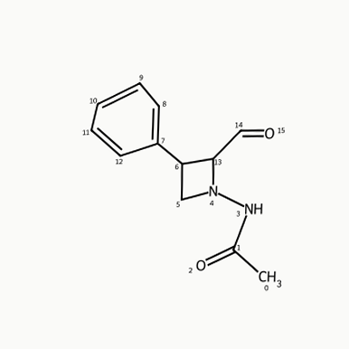 CC(=O)NN1CC(c2ccccc2)C1C=O